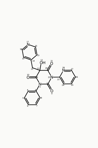 O=C1N(c2ccccc2)C(=O)C(O)(Cc2ccncc2)C(=O)N1c1ccccn1